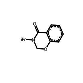 CC(C)N1COc2ccccc2C1=O